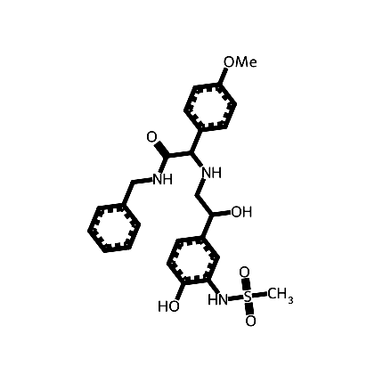 COc1ccc(C(NCC(O)c2ccc(O)c(NS(C)(=O)=O)c2)C(=O)NCc2ccccc2)cc1